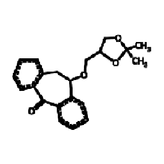 CC1(C)OCC(COC2Cc3ccccc3C(=O)c3ccccc32)O1